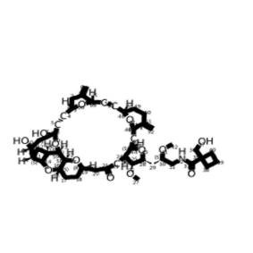 C=C1C[C@@H]2CC[C@@]3(O)C[C@@H](O)[C@@H]4C[C@@H]5C4O[C@H]4CC[C@H](CC(=O)C[C@@H]6[C@@H](OC)[C@@H](C[C@@H](CNC(=O)C7(CO)CCC7)OC)O[C@H]6C[C@H]6O[C@H](CCC6=C)CC[C@@H]1O2)O[C@@H]4[C@@H]5O3